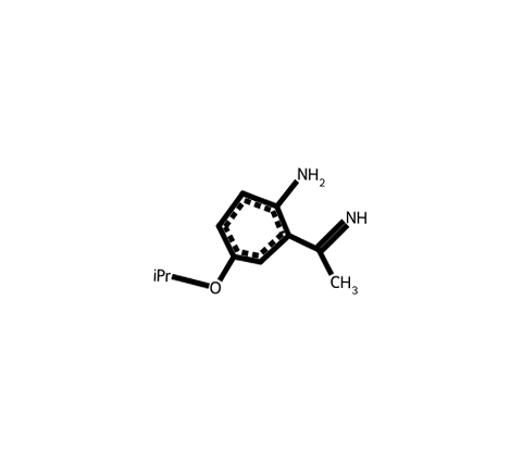 CC(=N)c1cc(OC(C)C)ccc1N